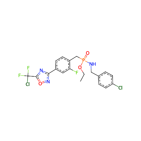 CCOP(=O)(Cc1ccc(-c2noc(C(F)(F)Cl)n2)cc1F)NCc1ccc(Cl)cc1